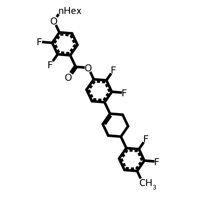 CCCCCCOc1ccc(C(=O)Oc2ccc(C3=CCC(c4ccc(C)c(F)c4F)CC3)c(F)c2F)c(F)c1F